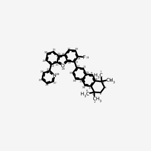 CC1(C)CCC(C)(C)c2cc3cc(-c4c(F)ccc5c4oc4c(-c6ccccn6)cccc45)ccc3cc21